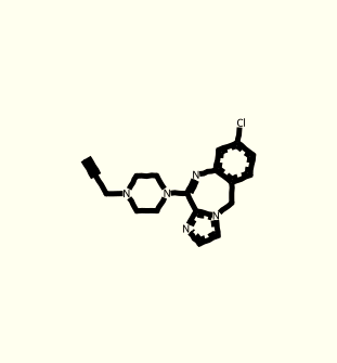 C#CCN1CCN(C2=Nc3cc(Cl)ccc3Cn3ccnc32)CC1